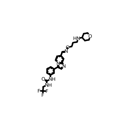 O=C(NCC(F)(F)F)Nc1cccc(-c2cnc3cc(C=NOCCCNC4CCOCC4)ccn23)c1